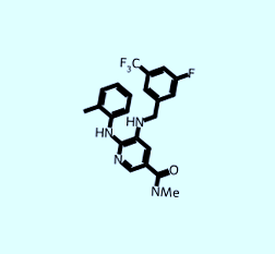 CNC(=O)c1cnc(Nc2ccccc2C)c(NCc2cc(F)cc(C(F)(F)F)c2)c1